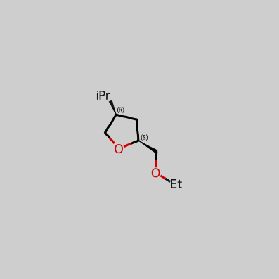 CCOC[C@@H]1C[C@H](C(C)C)CO1